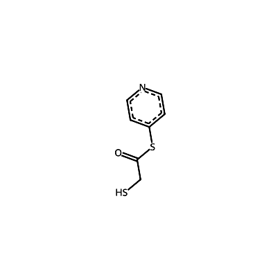 O=C(CS)Sc1ccncc1